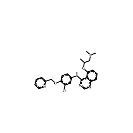 CC(CN(C)C)Oc1cccc2ncnc(Nc3ccc(OCc4ccccn4)c(Cl)c3)c12